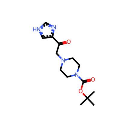 CC(C)(C)OC(=O)N1CCN(CC(=O)c2c[nH]cn2)CC1